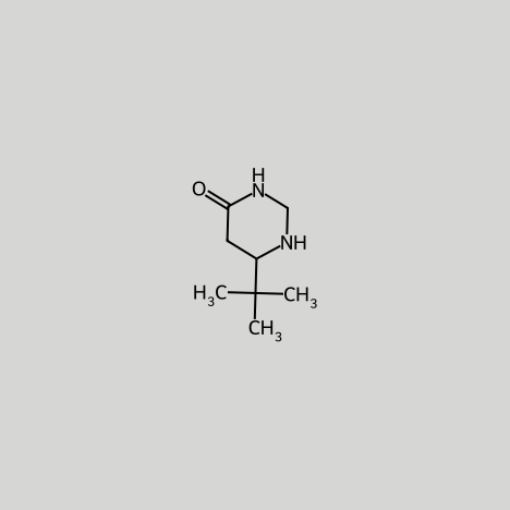 CC(C)(C)C1CC(=O)NCN1